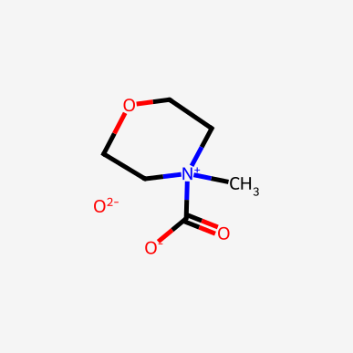 C[N+]1(C(=O)[O-])CCOCC1.[O-2]